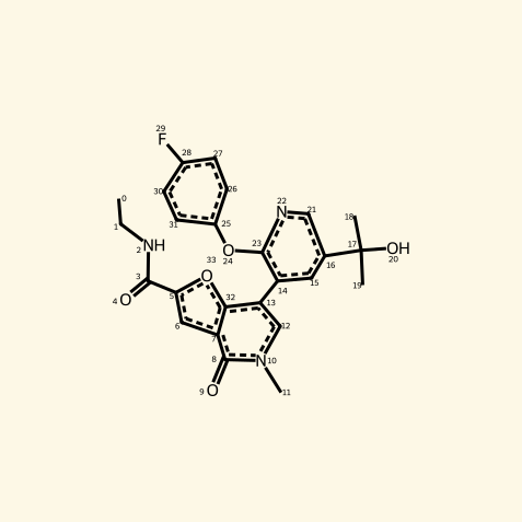 CCNC(=O)c1cc2c(=O)n(C)cc(-c3cc(C(C)(C)O)cnc3Oc3ccc(F)cc3)c2o1